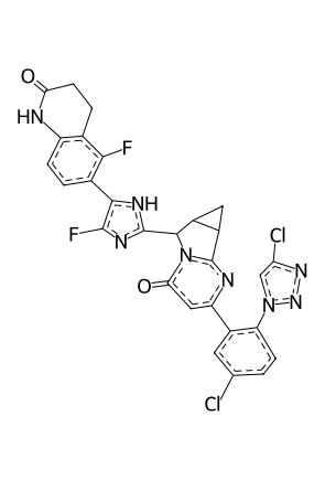 O=C1CCc2c(ccc(-c3[nH]c(C4C5CC5c5nc(-c6cc(Cl)ccc6-n6cc(Cl)nn6)cc(=O)n54)nc3F)c2F)N1